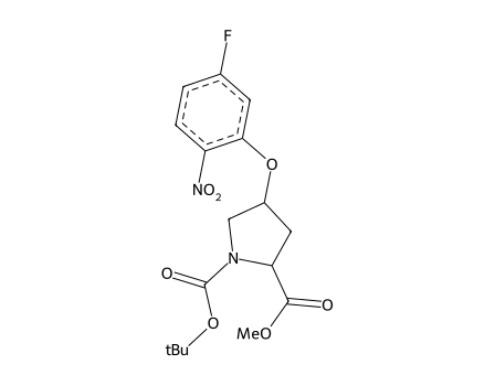 COC(=O)C1CC(Oc2cc(F)ccc2[N+](=O)[O-])CN1C(=O)OC(C)(C)C